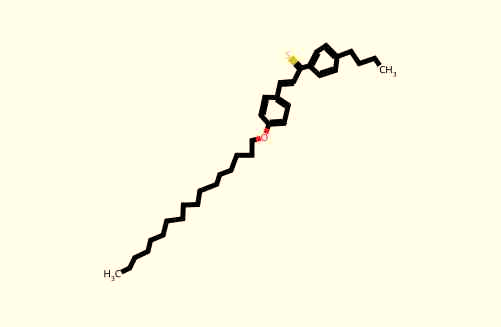 CCCCCCCCCCCCCCCCCOc1ccc(C=CC(=S)c2ccc(CCCC)cc2)cc1